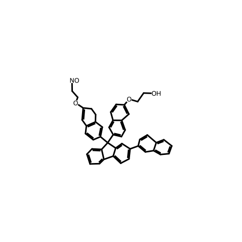 O=NCCOC1=Cc2ccc(C3(c4ccc5cc(OCCO)ccc5c4)c4ccccc4-c4ccc(-c5ccc6ccccc6c5)cc43)cc2CC1